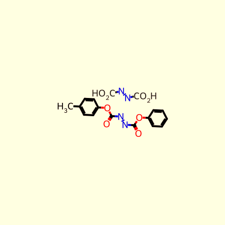 Cc1ccc(OC(=O)N=NC(=O)Oc2ccccc2)cc1.O=C(O)N=NC(=O)O